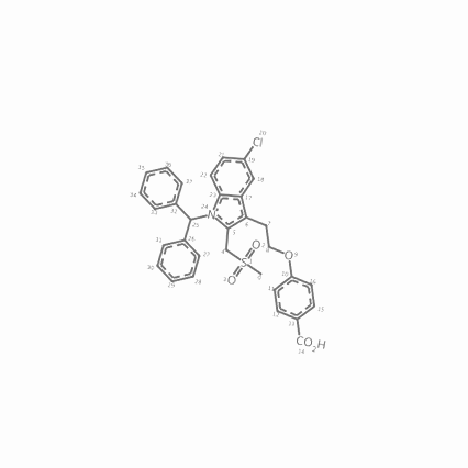 CS(=O)(=O)Cc1c(CCOc2ccc(C(=O)O)cc2)c2cc(Cl)ccc2n1C(c1ccccc1)c1ccccc1